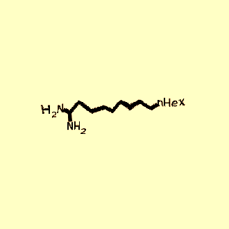 CCCCCCCCCCCCCCC(N)N